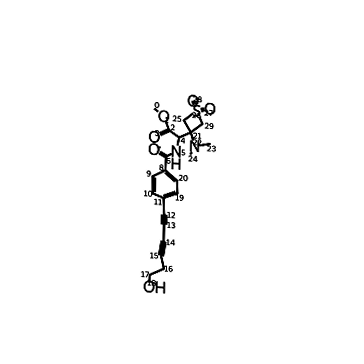 COC(=O)C(NC(=O)c1ccc(C#CC#CCCO)cc1)C1(N(C)C)CS(=O)(=O)C1